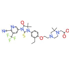 CCc1cc(N2C(=S)N(c3cnc(C#N)c(C(F)(F)F)c3)C(=O)C2(C)C)ccc1OCCN1CCN(CC(=O)O)C(C)(C)C1